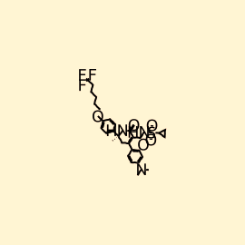 CN(C)c1ccc(C2=C(C(=O)NS(=O)(=O)C3CC3)C(=O)N[C@](C)(c3ccc(OCCCCCC(F)(F)F)cc3)C2)cc1